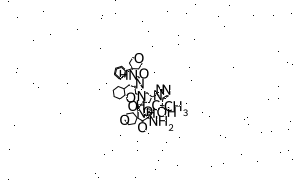 CC(C)(O)c1cnnn1[C@H]1C[C@@H](C(=O)NC2(C(=O)C(N)=O)CCOCC2)N(C(=O)/C(CC2CCCCC2)=N/C(=O)NC2(c3ccccc3)CCOCC2)C1